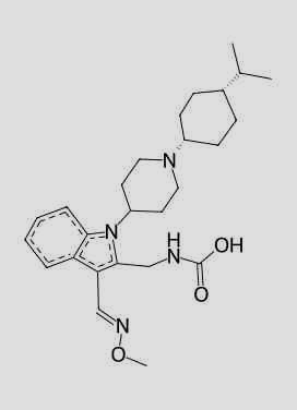 CON=Cc1c(CNC(=O)O)n(C2CCN([C@H]3CC[C@@H](C(C)C)CC3)CC2)c2ccccc12